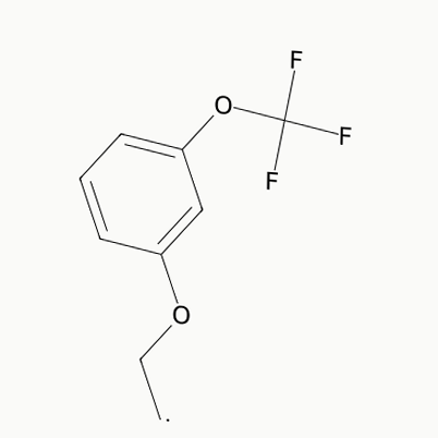 [CH2]COc1cccc(OC(F)(F)F)c1